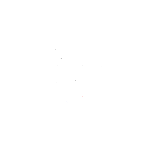 O=C1NC(=O)c2c1c(Cc1ccccc1)c(Cc1ccccc1)c1ccccc21